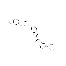 C=C(Nc1ccnc(N2CCN(C)CC2)c1)c1cc2ccc(-c3nccc(Nc4ccc5[nH]ncc5c4)n3)cc2[nH]1